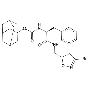 O=C(N[C@@H](Cc1ccccc1)C(=O)NCC1CC(Br)=NO1)OC12CC3CC(CC(C3)C1)C2